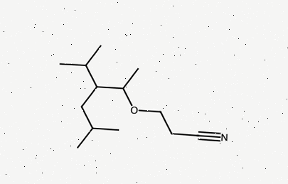 CC(C)CC(C(C)C)C(C)OCCC#N